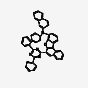 c1ccc(-c2nc(-c3ccccc3)nc(-c3cc4ccccc4c4c3oc3c(N(c5ccccc5)c5ccc6ccccc6c5)cccc34)n2)cc1